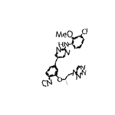 COc1c(Cl)cccc1Nc1ncc(-c2ccc(C#N)c(O[C@@H](C)Cn3cnnn3)c2)cn1